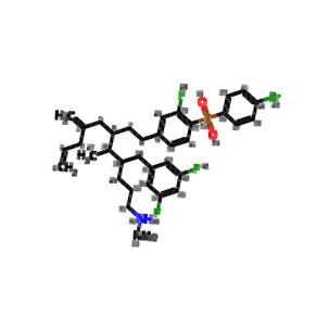 C=CCC(=C)CC(CCc1ccc(S(=O)(=O)c2ccc(Br)cc2)c(F)c1)C(C)C(CCCNNC)Cc1cc(F)cc(F)c1